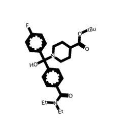 CCN(CC)C(=O)c1ccc(C(O)(c2ccc(F)cc2)N2CCC(C(=O)OC(C)(C)C)CC2)cc1